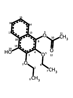 CCOc1c(OCC)c(OC(C)=O)c2ccccc2c1O